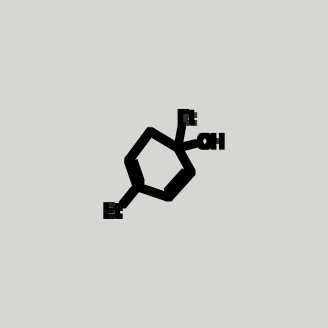 CCC1=CCC(O)(CC)C=C1